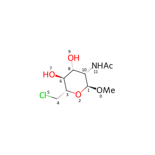 CO[C@H]1O[C@H](CCl)[C@@H](O)[C@H](O)[C@@H]1NC(C)=O